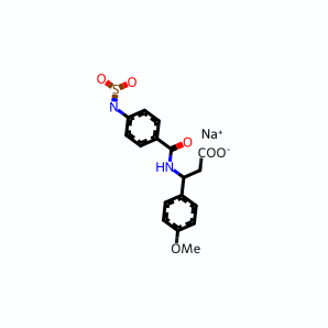 COc1ccc(C(CC(=O)[O-])NC(=O)c2ccc(N=S(=O)=O)cc2)cc1.[Na+]